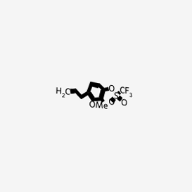 C=CCc1ccc(OS(=O)(=O)C(F)(F)F)c(OC)c1